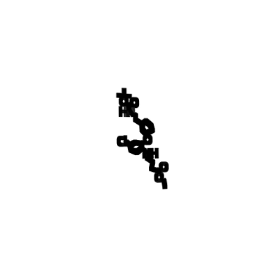 CCOC(=O)CCCNc1ccc(Cl)cc1Oc1cccc(CCNC(=O)OC(C)(C)C)c1